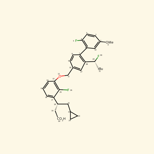 COc1ccc(F)c(-c2ccc(COc3cccc([C@@H](CC(=O)O)CC4CC4)c3F)cc2[C@H](F)C(C)(C)C)c1